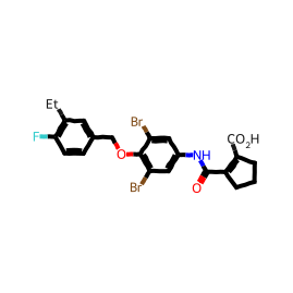 CCc1cc(COc2c(Br)cc(NC(=O)C3=C(C(=O)O)CCC3)cc2Br)ccc1F